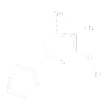 CCOc1nc(-c2ccccc2)cc(N)c1C#N